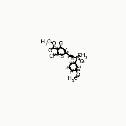 COC(=O)c1c(Cl)cc(C#CP(C)(=O)c2cccc(OC)c2)cc1Cl